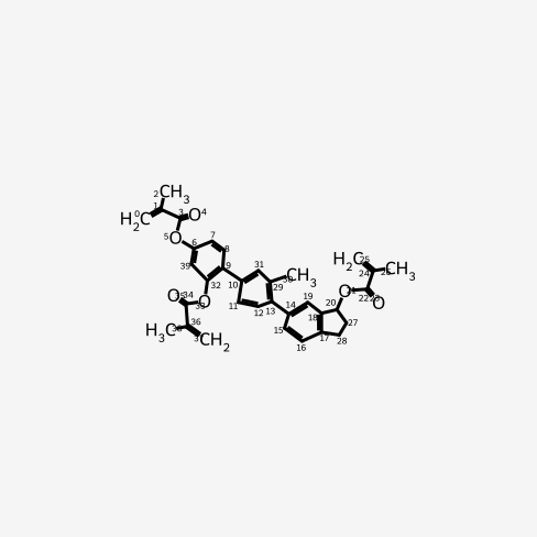 C=C(C)C(=O)Oc1ccc(-c2ccc(-c3ccc4c(c3)C(OC(=O)C(=C)C)CC4)c(C)c2)c(OC(=O)C(=C)C)c1